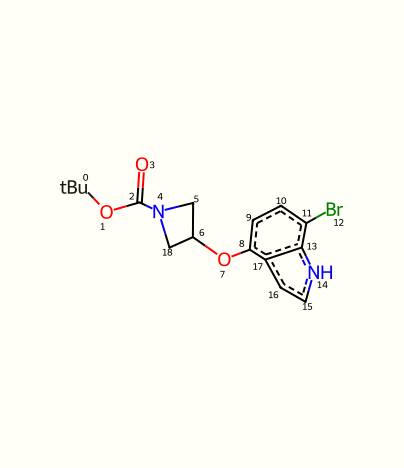 CC(C)(C)OC(=O)N1CC(Oc2ccc(Br)c3[nH]ccc23)C1